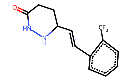 O=C1CCC(/C=C/c2ccccc2C(F)(F)F)NN1